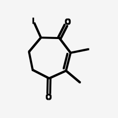 CC1=C(C)C(=O)C(I)CCC1=O